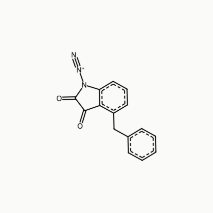 N#[N+]N1C(=O)C(=O)c2c(Cc3ccccc3)cccc21